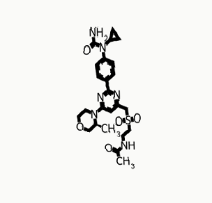 CC(=O)NCCS(=O)(=O)Cc1cc(N2CCOC[C@@H]2C)nc(-c2ccc(N(C(N)=O)C3CC3)cc2)n1